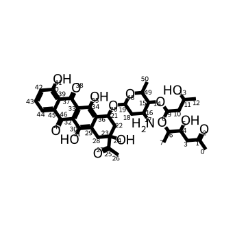 CC(=O)CC(O)C(C)OC(CC(C)O)OC1C(N)CC(OC2CC(O)(C(C)=O)Cc3c(O)c4c(c(O)c32)C(=O)c2c(O)cccc2C4=O)OC1C